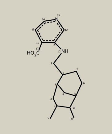 CC1CC2CC(CCC2CNc2cnccc2C(=O)O)C1C